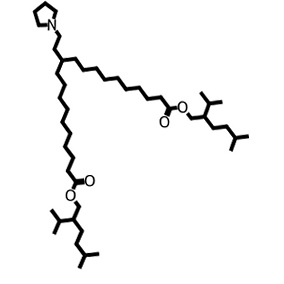 CC(C)CCC(COC(=O)CCCCCCCCCC(CCCCCCCCCC(=O)OCC(CCC(C)C)C(C)C)CCN1CCCC1)C(C)C